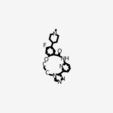 CN1CCC(c2cc3c(cc2F)OCCCCn2cnnc2-c2cccc(n2)NC3=O)CC1